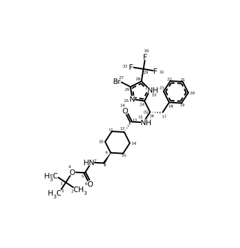 CC(C)(C)OC(=O)NC[C@H]1CC[C@H](C(=O)N[C@@H](Cc2ccccc2)c2nc(Br)c(C(F)(F)F)[nH]2)CC1